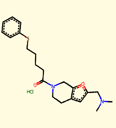 CN(C)Cc1cc2c(o1)CN(C(=O)CCCCSc1ccccc1)CC2.Cl